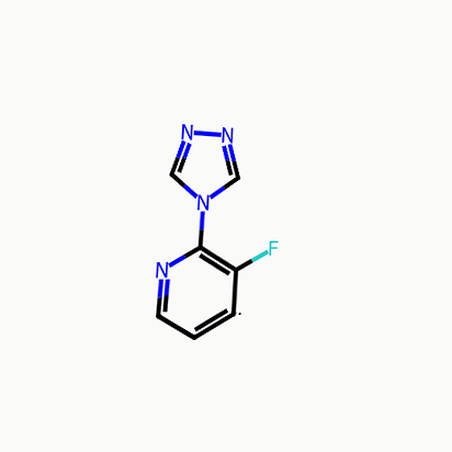 Fc1[c]ccnc1-n1cnnc1